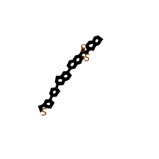 c1ccc2cc3c(cc2c1)sc1c2cc4ccc(-c5ccc6cc(-c7ccc(-c8ccc9sccc9c8)cc7)ccc6c5)cc4cc2sc31